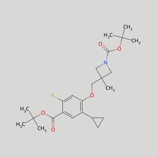 CC1(COc2cc(F)c(C(=O)OC(C)(C)C)cc2C2CC2)CN(C(=O)OC(C)(C)C)C1